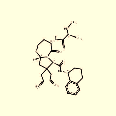 C=CCC1(CC=C)C[C@@H]2SCC[C@H](NC(=O)[C@H](C)NC)C(=O)N2[C@H]1C(=O)N[C@@H]1CCCc2ccccc21